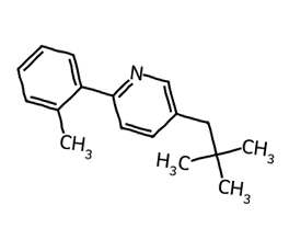 Cc1ccccc1-c1ccc(CC(C)(C)C)cn1